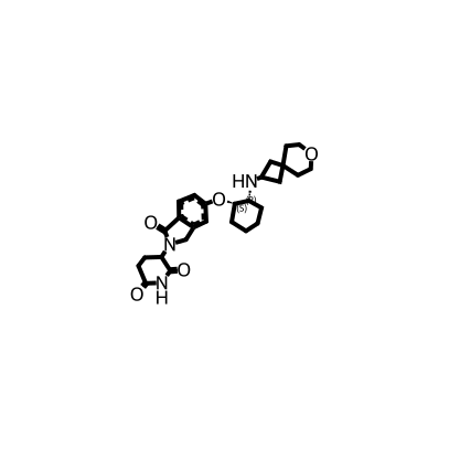 O=C1CCC(N2Cc3cc(O[C@H]4CCCC[C@H]4NC4CC5(CCOCC5)C4)ccc3C2=O)C(=O)N1